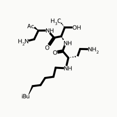 CC[C@H](C)CCCCCN[C@@H](CCN)C(=O)N[C@H](C(=O)N[C@@H](CN)C(C)=O)[C@H](C)O